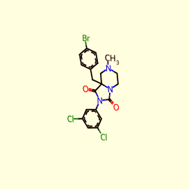 CN1CCN2C(=O)N(c3cc(Cl)cc(Cl)c3)C(=O)C2(Cc2ccc(Br)cc2)C1